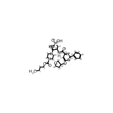 CCCCOC(=O)N1CCN(C(=O)C(CP(=O)(O)O)NC(=O)c2cc(OC3CCOC3)nc(-c3ccccc3)n2)CC1